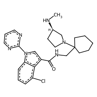 CN[C@@H]1CCN(C2(CNC(=O)c3cn(-c4ncccn4)c4cccc(Cl)c34)CCCCC2)C1